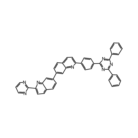 c1ccc(-c2nc(-c3ccccc3)nc(-c3ccc(-c4ccc5ccc(-c6ccc7ccc(-c8ncccn8)nc7c6)cc5n4)cc3)n2)cc1